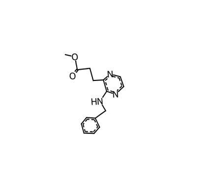 COC(=O)CCc1nccnc1NCc1ccccc1